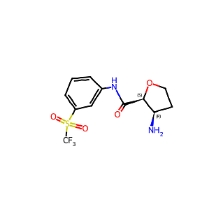 N[C@@H]1CCO[C@@H]1C(=O)Nc1cccc(S(=O)(=O)C(F)(F)F)c1